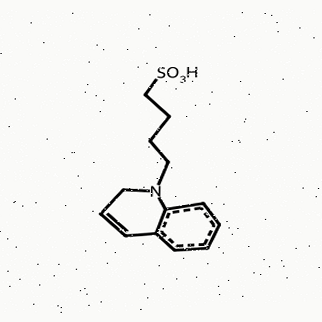 O=S(=O)(O)CCCCN1CC=Cc2ccccc21